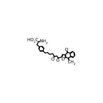 C=C1c2ccccc2C(=O)c2cc(C(=O)CC(=O)CCCCc3ccc(CC(N)C(=O)O)cc3)oc21